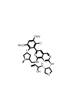 C=CC(O)N[C@H]1COC[C@H]1Nc1ncc2cc(-c3c(Cl)c(OC)cc(OC)c3Cl)nc(NCC3CCCN3C)c2n1